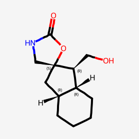 O=C1NC[C@@]2(C[C@H]3CCCC[C@H]3[C@@H]2CO)O1